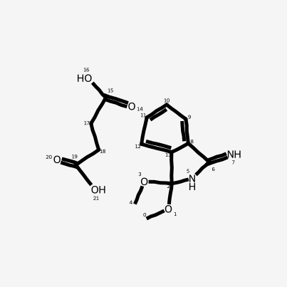 COC1(OC)NC(=N)c2ccccc21.O=C(O)CCC(=O)O